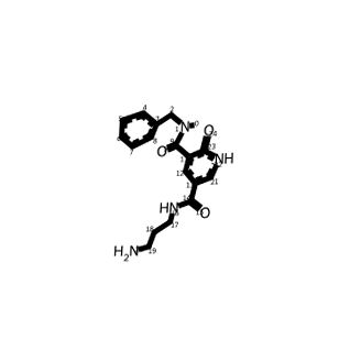 CN(Cc1ccccc1)C(=O)c1cc(C(=O)NCCCN)c[nH]c1=O